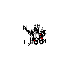 B[C@H]1C[C@@H](NC(c2ccccc2)(c2ccccc2)c2ccccc2)C(COP(=S)(N[C@@H]2C[C@H](B)OC2COP(OCCC#N)N(C(C)C)C(C)C)OCCC#N)O1